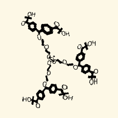 CC(C)(O)C(=O)c1ccc(C(OCCOCCO[Si](C)(OCCOCCOC(c2ccc(C(=O)C(C)(C)O)cc2)c2ccc(C(=O)C(C)(C)O)cc2)OCCOCCOC(c2ccc(C(=O)C(C)(C)O)cc2)c2ccc(C(=O)C(C)(C)O)cc2)c2ccc(C(=O)C(C)(C)O)cc2)cc1